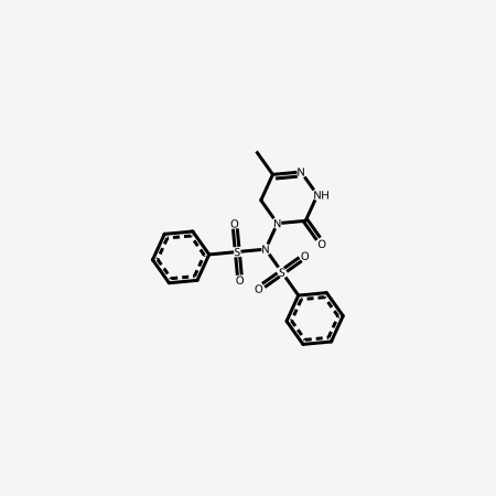 CC1=NNC(=O)N(N(S(=O)(=O)c2ccccc2)S(=O)(=O)c2ccccc2)C1